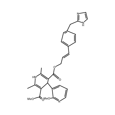 COC(=O)C1=C(C)NC(C)=C(C(=O)OCC=Cc2ccc(Cc3ncc[nH]3)cc2)C1c1cccnc1OC